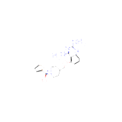 Nc1nc(N)c2c(OCC3CCN(C(=O)c4cccs4)CC3)cccc2n1